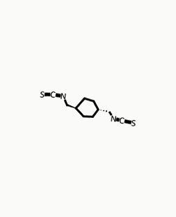 S=C=NC[C@H]1CC[C@H](CN=C=S)CC1